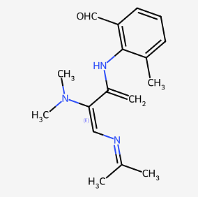 C=C(Nc1c(C)cccc1C=O)/C(=C\N=C(C)C)N(C)C